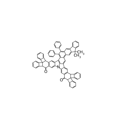 CC1(C)c2ccccc2-c2cc3c(-c4ccccc4)c(-c4ccccc4)c4c(cc5c6cc7c(cc6n6c8cc9c(cc8c4c56)C4c5ccccc5C45c4ccccc4C5C9=O)C(=O)C4c5ccccc5C45c4ccccc4C75)c3cc21